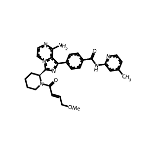 COC/C=C/C(=O)N1CCCC[C@H]1c1nc(-c2ccc(C(=O)Nc3cc(C)ccn3)cc2)c2c(N)nccn12